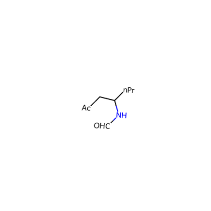 CCCC(CC(C)=O)NC=O